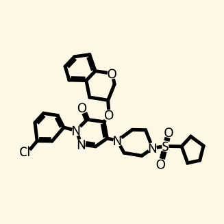 O=c1c(OC2COc3ccccc3C2)c(N2CCN(S(=O)(=O)C3CCCC3)CC2)cnn1-c1cccc(Cl)c1